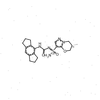 C[C@@H]1COc2c([S@](N)(=O)=NC(=O)Nc3c4c(cc5c3CCC5)CCC4)cnn2C1